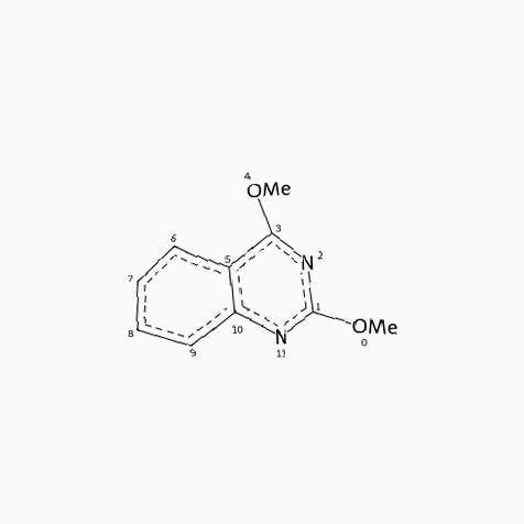 COc1nc(OC)c2ccccc2n1